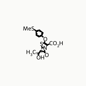 CSc1ccc(OC2=C(C(=O)O)N3C(=O)[C@H]([C@@H](C)O)C3S2)cc1